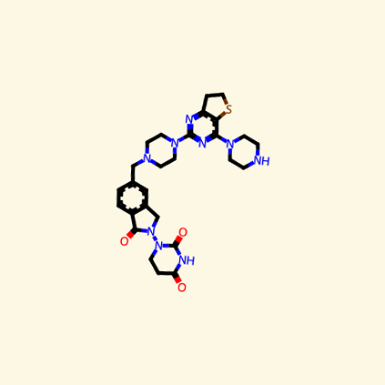 O=C1CCN(N2Cc3cc(CN4CCN(c5nc6c(c(N7CCNCC7)n5)SCC6)CC4)ccc3C2=O)C(=O)N1